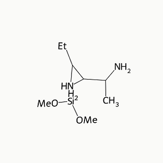 CCC1NC1C(C)N.CO[SiH2]OC